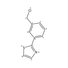 ClCc1cccc(-c2nccs2)c1